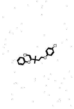 CC(C)(CCOc1ccc(Cl)cc1)C(=CCl)Oc1ccccc1